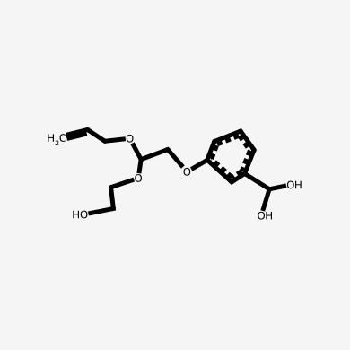 C=CCOC(COc1cccc(C(O)O)c1)OCCO